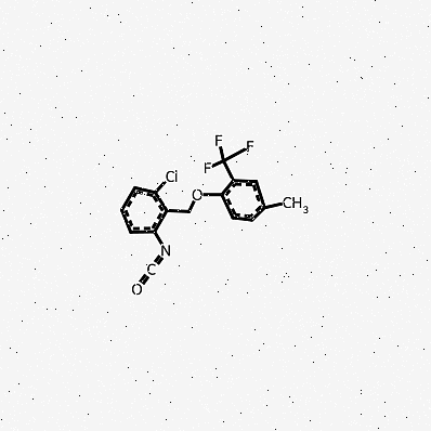 Cc1ccc(OCc2c(Cl)cccc2N=C=O)c(C(F)(F)F)c1